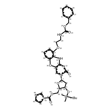 CC(C)(C)[Si](C)(C)O[C@@H]1C[C@H](n2cc3c(nc2=O)Nc2c(OCCNC(=O)OCc4ccccc4)cccc2O3)O[C@@H]1COC(=O)n1ccnc1